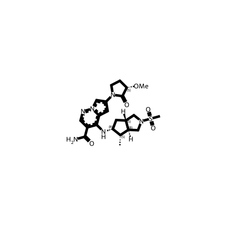 CO[C@H]1CCN(c2cc3c(N[C@@H]4C[C@@H]5CN(S(C)(=O)=O)C[C@H]5[C@@H]4C)c(C(N)=O)cnn3c2)C1=O